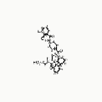 Cn1cccc(C(=O)NC2CCN(C(=O)[C@H]3CC[C@@](C(=O)NCC(=O)O)(c4ccccc4)c4ccccc43)CC2)c1=O